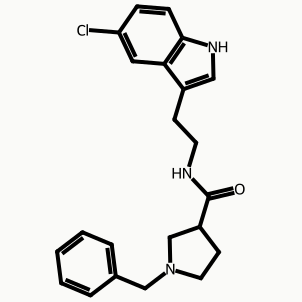 O=C(NCCc1c[nH]c2ccc(Cl)cc12)C1CCN(Cc2ccccc2)C1